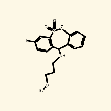 CCOCCCNC1c2ccccc2NS(=O)(=O)c2cc(I)ccc21